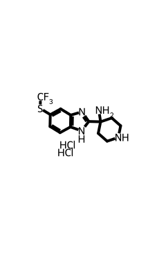 Cl.Cl.NC1(c2nc3cc(SC(F)(F)F)ccc3[nH]2)CCNCC1